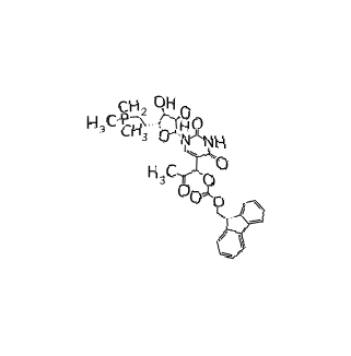 C=P(C)(C)CC[C@H]1O[C@@H](n2cc(C(OC(=O)OCC3c4ccccc4-c4ccccc43)C(C)=O)c(=O)[nH]c2=O)[C@H](O)[C@@H]1O